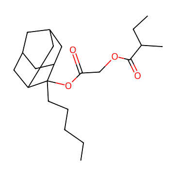 CCCCCC1(OC(=O)COC(=O)C(C)CC)C2CC3CC(C2)CC1C3